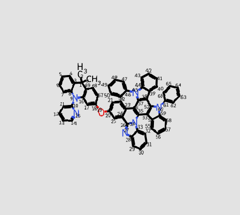 CC1(C)c2ccccc2N(c2ccccn2)c2cc(Oc3ccc4c(c3)c3nc5ccccc5n3c3c4c4c(c5ccccc5n4-c4ccccc4)c4c3c3ccccc3n4-c3ccccc3)ccc21